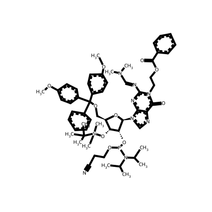 COc1ccc(C(OC[C@H]2O[C@@H](n3cnc4c(=O)n(CCOC(=O)c5ccccc5)c(N=CN(C)C)nc43)[C@H](OP(OCCC#N)N(C(C)C)C(C)C)[C@@H]2O[Si](C)(C)C(C)(C)C)(c2ccccc2)c2ccc(OC)cc2)cc1